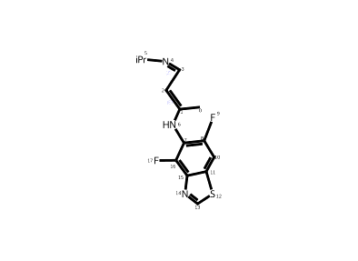 C/C(=C\C=N/C(C)C)Nc1c(F)cc2scnc2c1F